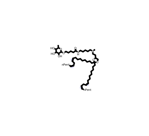 CCCCC/C=C\C/C=C\CCCCCCCCC1(CCCCCCCC/C=C\C/C=C\CCCCC)OCC(CCN(C)CCCCCNC(=O)CCCCOC2OC(C)C(O)C(O)C2O)O1